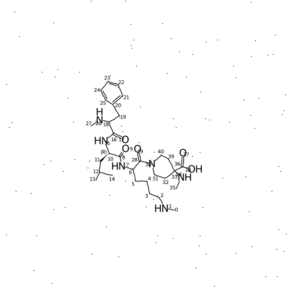 CNCCCCC(NC(=O)[C@@H](CC(C)C)NC(=O)C(Cc1ccccc1)NC)C(=O)N1CCC(NC)(C(=O)O)CC1